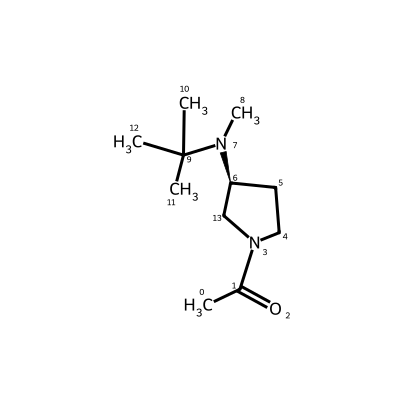 CC(=O)N1CC[C@H](N(C)C(C)(C)C)C1